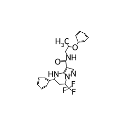 CC(CNC(=O)c1cnn2c1NC(c1ccccc1)CC2C(F)(F)F)Oc1ccccc1